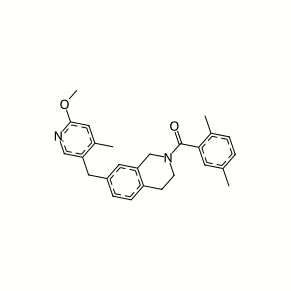 COc1cc(C)c(Cc2ccc3c(c2)CN(C(=O)c2cc(C)ccc2C)CC3)cn1